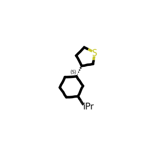 CC(C)C1CCC[C@H](C2CCSC2)C1